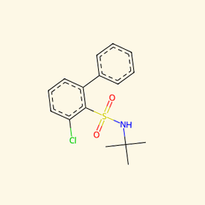 CC(C)(C)NS(=O)(=O)c1c(Cl)cccc1-c1ccccc1